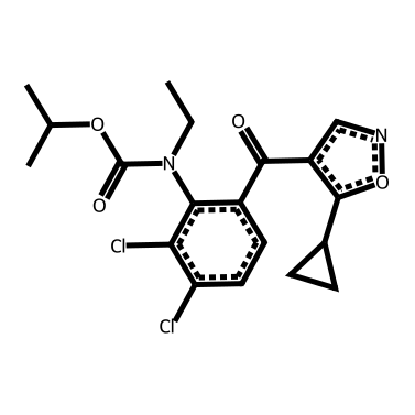 CCN(C(=O)OC(C)C)c1c(C(=O)c2cnoc2C2CC2)ccc(Cl)c1Cl